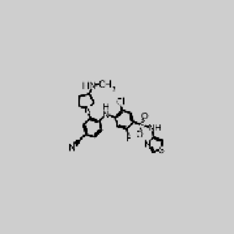 CNC1CCN(c2cc(C#N)ccc2Nc2cc(F)c(S(=O)(=O)Nc3cscn3)cc2Cl)C1